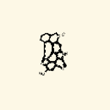 [O-][S+]1CC2CCCc3c2c2c1cc1[nH]c4cnc5cc(O)c6sc3c3c6c5c4c1c23